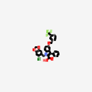 O=C(O)c1c(-c2ccccc2)c2cc(OCc3cccc(C(F)(F)F)c3)ccc2n1Cc1cc2c(cc1Cl)OCO2